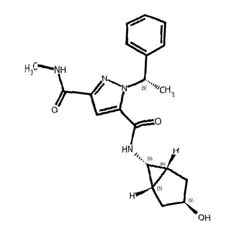 CNC(=O)c1cc(C(=O)N[C@@H]2[C@@H]3C[C@@H](O)C[C@@H]32)n([C@@H](C)c2ccccc2)n1